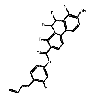 C=CCCc1ccc(OC(=O)c2ccc3c(c2F)C(F)C(F)c2c-3ccc(CCC)c2F)cc1F